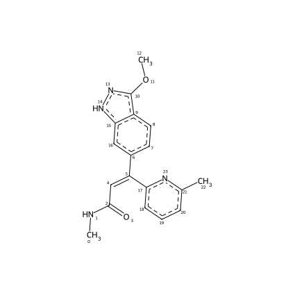 CNC(=O)C=C(c1ccc2c(OC)n[nH]c2c1)c1cccc(C)n1